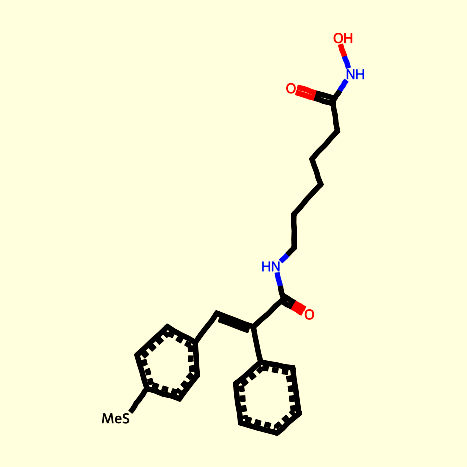 CSc1ccc(/C=C(/C(=O)NCCCCCC(=O)NO)c2ccccc2)cc1